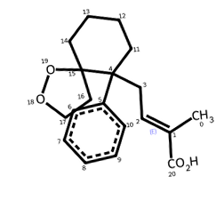 C/C(=C\CC1(c2ccccc2)CCCCC12CCOO2)C(=O)O